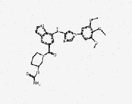 COc1cc(-n2cnc(Nc3cc(C(=O)N4CCCC(OC(N)=O)C4)cc4ccoc34)c2)cc(OC)c1OC